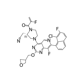 C=C(F)C(=O)N1CCN(c2nc(OCC3COC3)nc3c(F)c(-c4cccc5ccc(F)c(Cl)c45)ncc23)C[C@@H]1CC#N